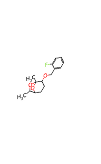 CC1OC2(C)OC1CCC2OCc1ccccc1F